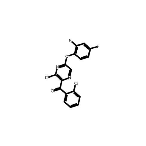 O=C(c1ccccc1Cl)c1ncc(Oc2ccc(F)cc2F)nc1Cl